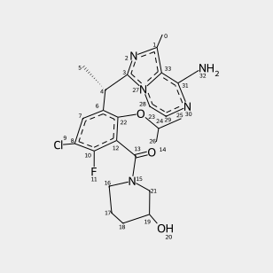 Cc1nc([C@@H](C)c2cc(Cl)c(F)c(C(=O)N3CCCC(O)C3)c2OC(C)C)n2ccnc(N)c12